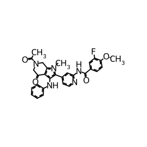 COc1ccc(C(=O)Nc2cc(-c3c(Nc4ccccc4)c4c(n3C)CN(C(C)=O)CC4=O)ccn2)cc1F